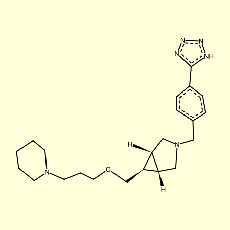 c1cc(-c2nnn[nH]2)ccc1CN1C[C@@H]2[C@@H](COCCCN3CCCCC3)[C@@H]2C1